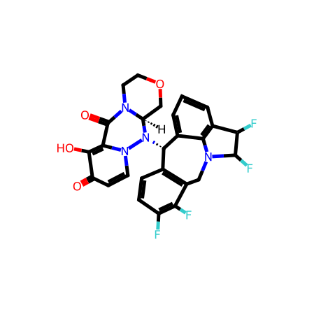 O=C1c2c(O)c(=O)ccn2N([C@H]2c3ccc(F)c(F)c3CN3c4c(cccc42)C(F)C3F)[C@@H]2COCCN12